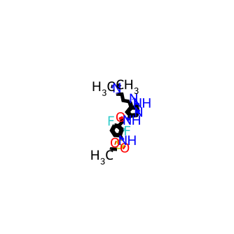 CCCS(=O)(=O)Nc1ccc(F)c(C(=O)Nc2cnc3[nH]nc(CCCN(C)C)c3c2)c1F